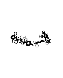 CC(OC(=O)ON1C(=O)CCC1=O)OC(=O)C1CCC(CNC(=O)CCCC[C@H]2C3NC(=O)NC3CS2(=O)=O)CC1